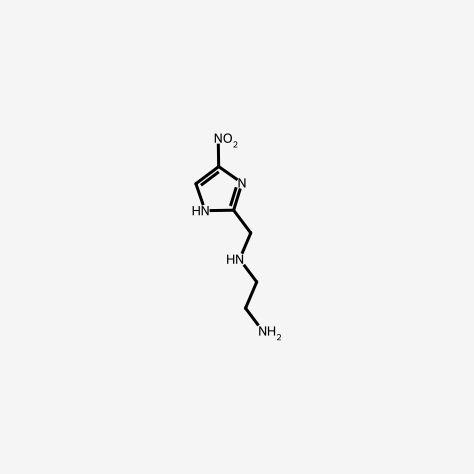 NCCNCc1nc([N+](=O)[O-])c[nH]1